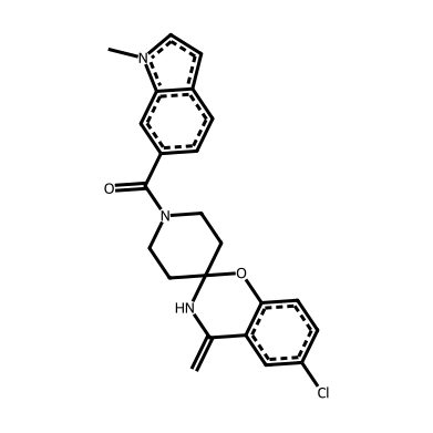 C=C1NC2(CCN(C(=O)c3ccc4ccn(C)c4c3)CC2)Oc2ccc(Cl)cc21